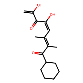 C=C(O)C(=O)/C(O)=C\C(C)=C(/C)C(=O)C1CCCCC1